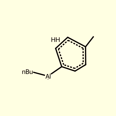 CCC[CH2][Al][c]1ccc(C)cc1.[HH]